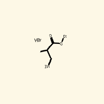 Br.CCOC(=O)C(C)[CH2][Zn]